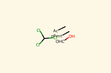 CC(C)=O.CCCCCC.ClC(Cl)Cl.O=CO